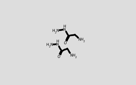 NCC(=O)NN.NCC(=O)NN